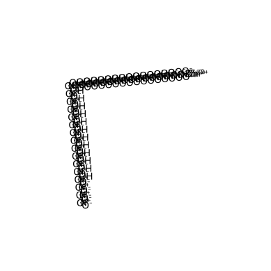 O=[N+]([O-])O.O=[N+]([O-])O.O=[N+]([O-])O.O=[N+]([O-])O.O=[N+]([O-])O.O=[N+]([O-])O.O=[N+]([O-])O.O=[N+]([O-])O.O=[N+]([O-])O.O=[N+]([O-])O.O=[N+]([O-])O.O=[N+]([O-])O.O=[N+]([O-])O.O=[N+]([O-])O.O=[N+]([O-])O.O=[N+]([O-])O.O=[N+]([O-])O.O=[N+]([O-])O.O=[N+]([O-])O.O=[N+]([O-])O.O=[N+]([O-])O.O=[N+]([O-])O.O=[N+]([O-])O.O=[N+]([O-])O.O=[N+]([O-])O.O=[N+]([O-])O.O=[N+]([O-])[O-].O=[N+]([O-])[O-].O=[N+]([O-])[O-].O=[N+]([O-])[O-].O=[N+]([O-])[O-].O=[N+]([O-])[O-].[Zn+2].[Zn+2].[Zn+2]